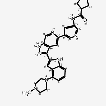 CN1CCN(c2cccc3[nH]c(-c4n[nH]c5cnc(-c6cncc(NC(=O)C7CCCC7)c6)cc45)cc23)CC1